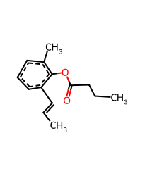 CC=Cc1cccc(C)c1OC(=O)CCC